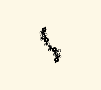 Cc1ccc(S(=O)(=O)ON2C(=O)c3ccc(C(=O)OCOC(=O)c4ccc5c(c4)C(=O)N(OS(=O)(=O)c4ccc(C)cc4)C5=O)cc3C2=O)cc1